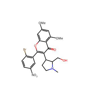 COc1cc(OC)c2c(=O)c(C3CCN(C)C3CO)c(-c3cc([N+](=O)[O-])ccc3Br)oc2c1